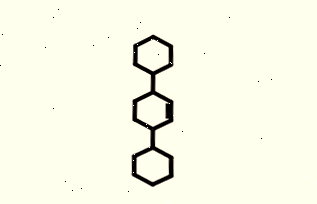 C1=CC(C2CCCCC2)CCC1C1CCCCC1